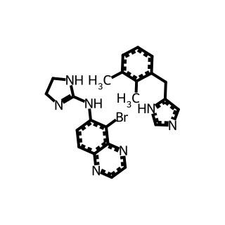 Brc1c(NC2=NCCN2)ccc2nccnc12.Cc1cccc(Cc2cnc[nH]2)c1C